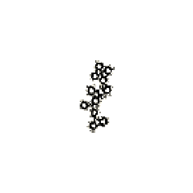 C1=CC2=C(CC1)C1(c3ccccc32)c2ccccc2-c2cc(-c3cccc4nc(-c5ccc(N(c6ccccc6)c6ccc(-n7c8ccccc8c8ccccc87)cc6)cc5)c(-c5ccccc5)nc34)ccc21